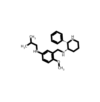 COc1ccc(NCC(C)C)cc1CN[C@H]1CCCN[C@H]1c1ccccc1